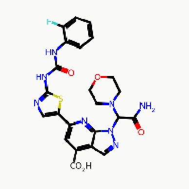 NC(=O)C(N1CCOCC1)n1ncc2c(C(=O)O)cc(-c3cnc(NC(=O)Nc4ccccc4F)s3)nc21